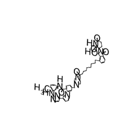 Cc1ccc(NC(=O)c2ccc(CN3CCN(C(=O)CCCCCCCCc4cccc5c4C(O)N(C4CCC(=O)NC4=O)C5=O)CC3)cc2)cc1Nc1nccc(-c2cccnc2)n1